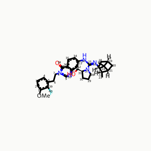 COc1cccc(CCn2cnc3cc(N/C(=N/[C@H]4C[C@@H]5C[C@H]([C@@H]4C)C5(C)C)N4CCC[C@H]4CO)ccc3c2=O)c1F